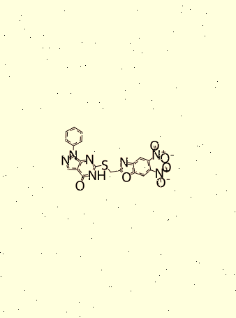 O=c1[nH]c(SCc2nc3cc([N+](=O)[O-])c([N+](=O)[O-])cc3o2)nc2c1cnn2-c1ccccc1